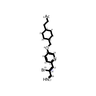 CC(=O)CCC1CCC(COc2ccc(/C=C(\Br)C=N)nc2)CC1